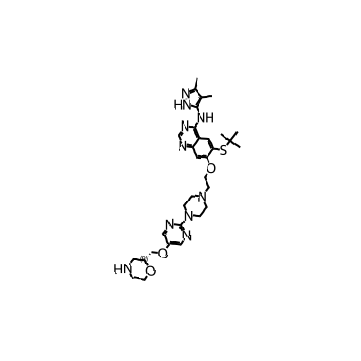 Cc1n[nH]c(Nc2ncnc3cc(OCCN4CCN(c5ncc(OC[C@H]6CNCCO6)cn5)CC4)c(SC(C)(C)C)cc23)c1C